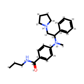 CCCNC(=O)c1ccc(N(C)C(CN2CCCC2)c2ccccc2)cc1